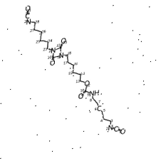 O=C=NCCCCCCNC(=O)OCCCCCCN1C(=O)N(CCCCCCN=C=O)C1=O